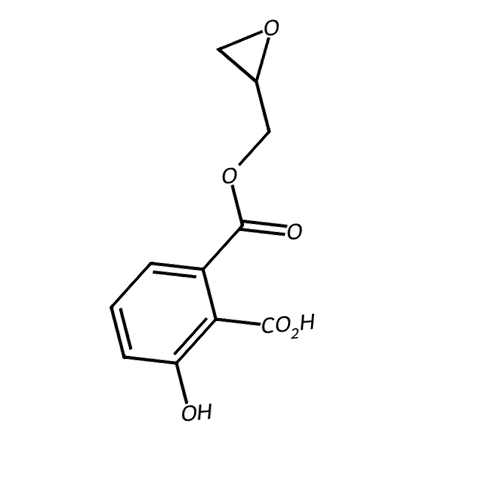 O=C(OCC1CO1)c1cccc(O)c1C(=O)O